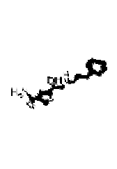 NC(=O)c1csc(C(O)CNCCCc2ccccc2)c1